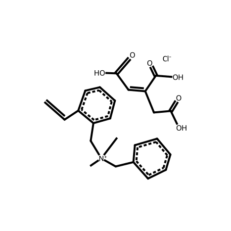 C=Cc1ccccc1C[N+](C)(C)Cc1ccccc1.O=C(O)C=C(CC(=O)O)C(=O)O.[Cl-]